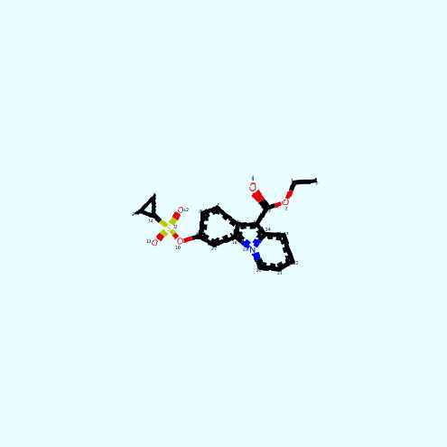 CCOC(=O)c1c2ccc(OS(=O)(=O)C3CC3)cc2n2ccccc12